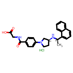 C[C@@H](N[C@H]1CCN(c2ccc(C(=O)NCC(=O)O)cc2)C1)c1cccc2ccccc12.Cl